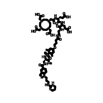 COC(=O)[C@H](CNC(=O)c1ccc2c(cnn2CCCNC2=NCCCN2)c1)NS(=O)(=O)c1c(C)cc(OCCCC(=O)NCCNC(=O)C(CCC(=O)O)NC(=O)[C@H](CCC(=O)O)NC(=O)CN2CCN(CC(=O)O)CCN(CC(=O)O)CCN(CC(=O)O)CC2)cc1C